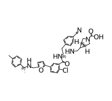 Cc1ccc([C@@H](C)NCc2ccc(-c3ccc(Cl)c(C(=O)N[C@@H](CNCC4[C@H]5CN(C(=O)O)C[C@@H]45)Cc4ccc(C#N)cc4)c3)o2)cc1